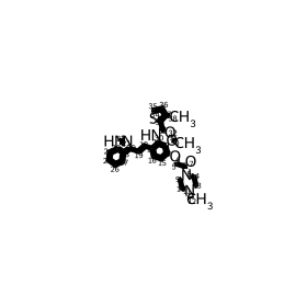 COc1c(OCC(=O)N2CCN(C)CC2)ccc(C=Cc2n[nH]c3ccccc23)c1NC(=O)c1sccc1C